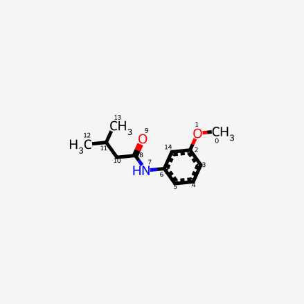 COc1cccc(NC(=O)CC(C)C)c1